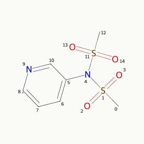 CS(=O)(=O)N(c1cc[c]nc1)S(C)(=O)=O